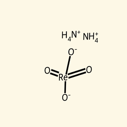 [NH4+].[NH4+].[O]=[Re](=[O])([O-])[O-]